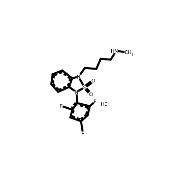 CNCCCCN1c2ccccc2N(c2c(F)cc(F)cc2F)S1(=O)=O.Cl